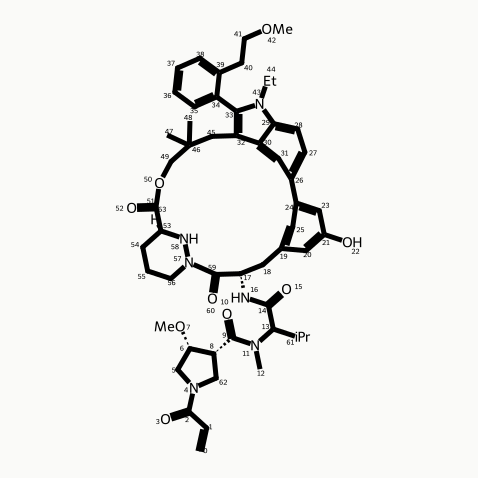 C=CC(=O)N1C[C@H](OC)[C@H](C(=O)N(C)C(C(=O)N[C@H]2Cc3cc(O)cc(c3)-c3ccc4c(c3)c(c(-c3ccccc3CCOC)n4CC)CC(C)(C)COC(=O)[C@@H]3CCCN(N3)C2=O)C(C)C)C1